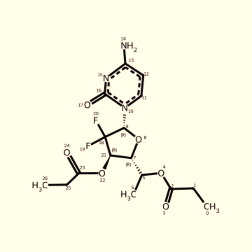 CCC(=O)OC(C)[C@H]1O[C@@H](n2ccc(N)nc2=O)C(F)(F)[C@@H]1OC(=O)CC